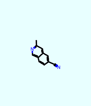 Cc1cc2cc(C#N)ccc2cn1